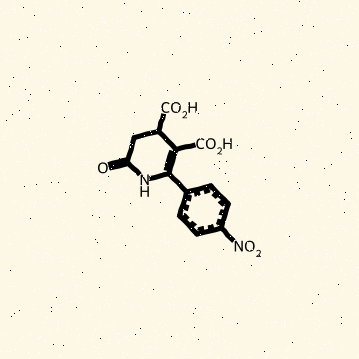 O=C1CC(C(=O)O)C(C(=O)O)=C(c2ccc([N+](=O)[O-])cc2)N1